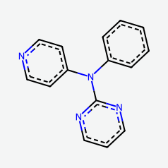 c1ccc(N(c2ccncc2)c2ncccn2)cc1